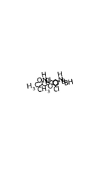 B=BNc1cc(Cl)c(OC2=NNC(=O)C(C(C)C)C2)c(Cl)c1